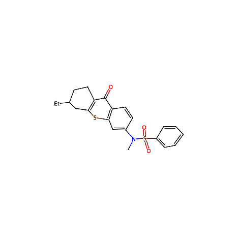 CCC1CCc2c(sc3cc(N(C)S(=O)(=O)c4ccccc4)ccc3c2=O)C1